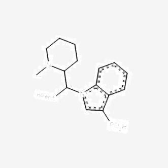 CCCCCC(C1CCCCN1C)n1cc(C(=O)O)c2ccccc21